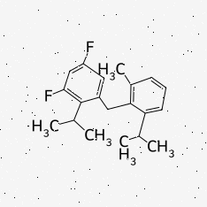 Cc1cccc(C(C)C)c1Cc1cc(F)cc(F)c1C(C)C